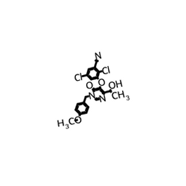 COc1ccc(Cn2cnc(C(C)O)c(Oc3cc(Cl)cc(C#N)c3Cl)c2=O)cc1